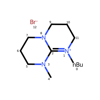 CCCC[N+]1=C2N(C)CCCN2CCC1.[Br-]